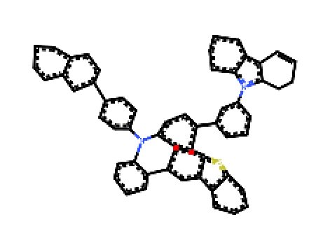 C1=Cc2c(n(-c3cccc(-c4ccc(N(c5ccc(-c6ccc7ccccc7c6)cc5)c5ccccc5-c5ccc6sc7ccccc7c6c5)cc4)c3)c3ccccc23)CC1